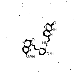 COc1ccc2ncc(=O)n(CCN3CC[C@@H](O)[C@@H](CNCc4ccc5c(n4)NC(=O)CO5)C3)c2n1